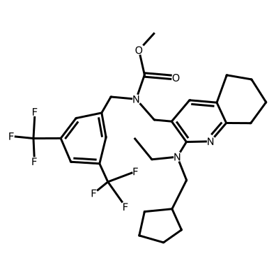 CCN(CC1CCCC1)c1nc2c(cc1CN(Cc1cc(C(F)(F)F)cc(C(F)(F)F)c1)C(=O)OC)CCCC2